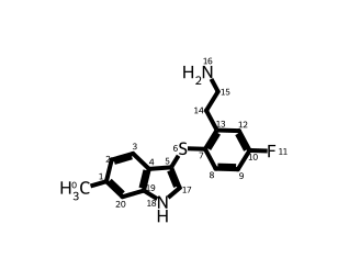 Cc1ccc2c(Sc3ccc(F)cc3CCN)c[nH]c2c1